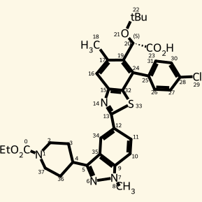 CCOC(=O)N1CCC(c2nn(C)c3ccc(-c4nc5cc(C)c([C@H](OC(C)(C)C)C(=O)O)c(-c6ccc(Cl)cc6)c5s4)cc23)CC1